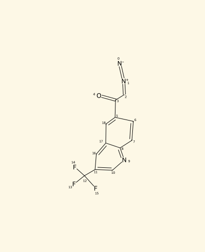 [N-]=[N+]=CC(=O)c1ccc2ncc(C(F)(F)F)cc2c1